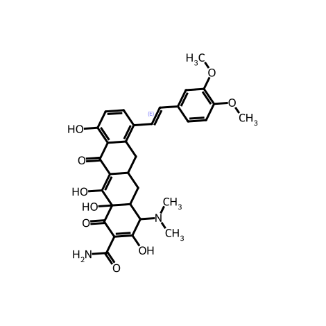 COc1ccc(/C=C/c2ccc(O)c3c2CC2CC4C(N(C)C)C(O)=C(C(N)=O)C(=O)C4(O)C(O)=C2C3=O)cc1OC